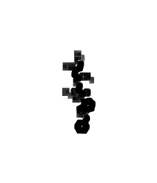 C\C=C/C(O)=C\C(C)=N\C=C(/C)C(=O)Nc1cccc2c1cnn2Cc1ccccc1